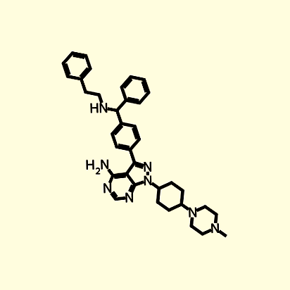 CN1CCN(C2CCC(n3nc(-c4ccc(C(NCCc5ccccc5)c5ccccc5)cc4)c4c(N)ncnc43)CC2)CC1